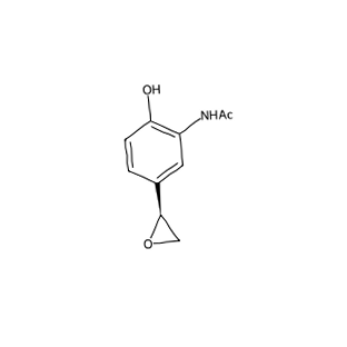 CC(=O)Nc1cc([C@H]2CO2)ccc1O